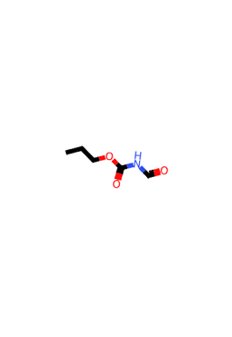 CCCOC(=O)N[C]=O